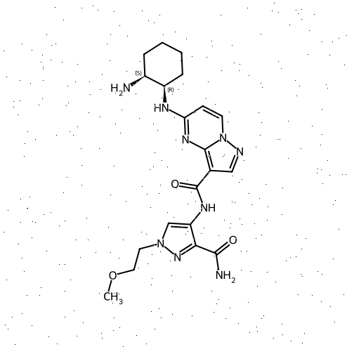 COCCn1cc(NC(=O)c2cnn3ccc(N[C@@H]4CCCC[C@@H]4N)nc23)c(C(N)=O)n1